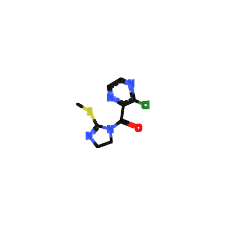 CSC1=NCCN1C(=O)c1nccnc1Cl